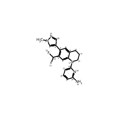 Cn1cc(-c2cc3c(cc2C(F)F)N(c2cccc(N)n2)CCC3)cn1